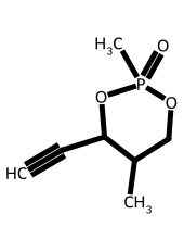 C#CC1OP(C)(=O)OCC1C